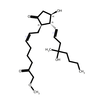 CCCCC(C)(O)C/C=C/[C@H]1[C@H](O)CC(=O)[C@@H]1C/C=C\CCCC(=O)COC